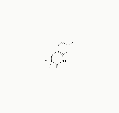 C=C1Nc2cc(C)ccc2OC1(C)C